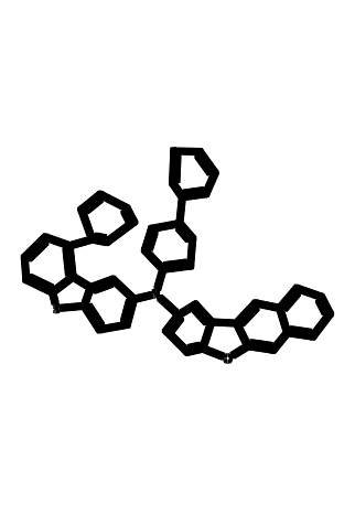 c1ccc(-c2ccc(N(c3ccc4oc5cc6ccccc6cc5c4c3)c3ccc4sc5cccc(-c6ccccc6)c5c4c3)cc2)cc1